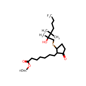 CCCCCCCCCCOC(=O)CCCCCCC1C(=O)CCC1SCC(C)(O)C(C)(C)CCCC(F)(F)F